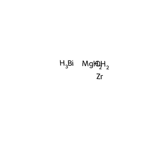 O.[BiH3].[MgH2].[Zr]